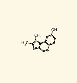 Cc1nc2cnc3ccc(O)cc3c2n1C